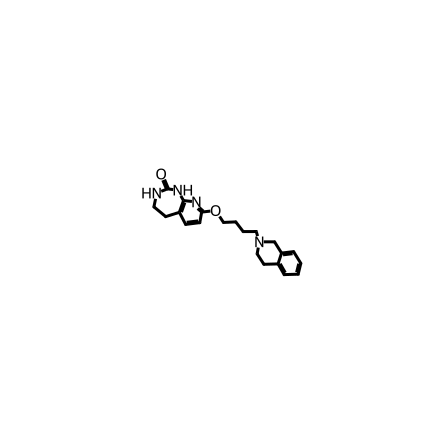 O=C1NCCc2ccc(OCCCCN3CCc4ccccc4C3)nc2N1